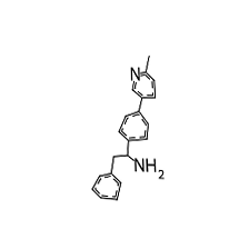 Cc1ccc(-c2ccc(C(N)Cc3ccccc3)cc2)cn1